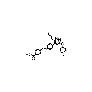 CCCCc1nnc(OC2CCN(C)CC2)cc1-c1ccc(OCC2CCC(C(=O)O)CC2)cc1